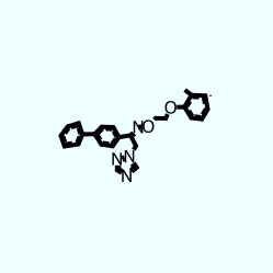 Cc1[c]cccc1OCCO/N=C(\Cn1cncn1)c1ccc(-c2ccccc2)cc1